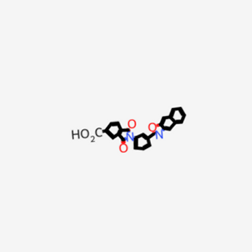 O=C(O)c1ccc2c(c1)C(=O)N(c1cccc(-c3nc4cc5ccccc5cc4o3)c1)C2=O